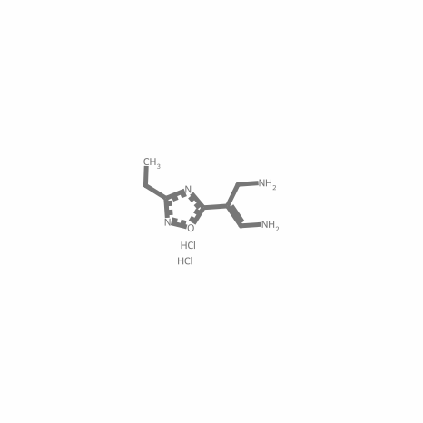 CCc1noc(/C(=C/N)CN)n1.Cl.Cl